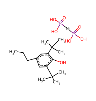 CCCc1cc(C(C)(C)C)c(O)c(C(C)(C)C)c1.O=[P](O)(O)[Ni][P](=O)(O)O